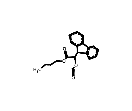 CCCCOC(=O)C(O[C]=O)C1c2ccccc2-c2ccccc21